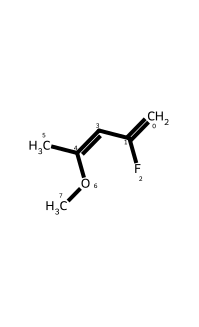 C=C(F)C=C(C)OC